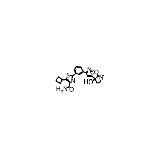 CN1CCC(O)(c2cc(-c3cccc(-c4nc(C(N)=O)c(C5CCC5)s4)c3)no2)C1=O